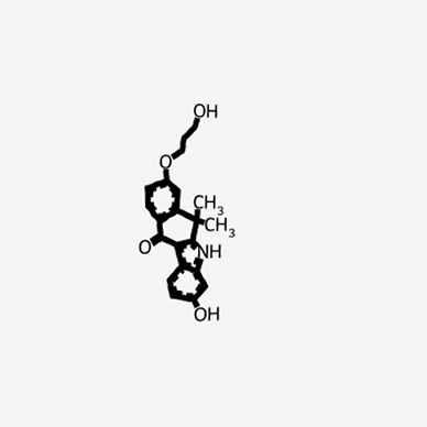 CC1(C)c2cc(OCCCO)ccc2C(=O)c2c1[nH]c1cc(O)ccc21